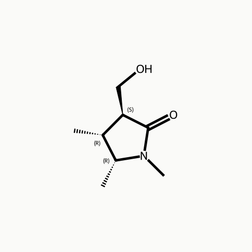 C[C@H]1[C@@H](C)N(C)C(=O)[C@@H]1CO